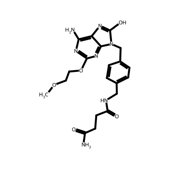 COCCOc1nc(N)c2nc(O)n(Cc3ccc(CNC(=O)CCC(N)=O)cc3)c2n1